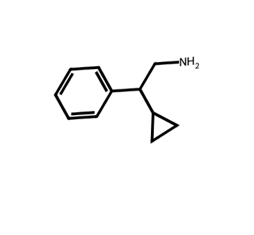 NCC(c1ccccc1)C1CC1